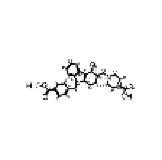 COC(=O)c1ccc(Cn2c3c(c4ccccc42)C(=O)C(CN2CCN(C(=O)O)CC2)CC3)cc1